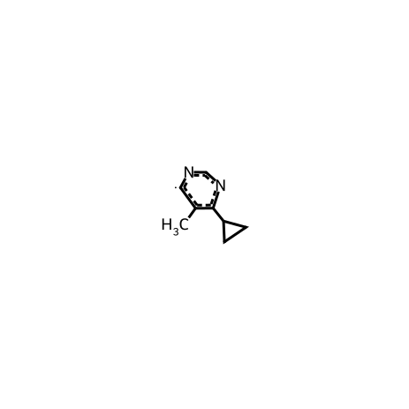 Cc1[c]ncnc1C1CC1